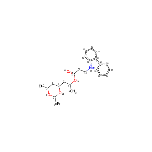 CCCC1OC(CC)CC(CC(C)OC(=O)CCn2c3ccccc3c3ccccc32)O1